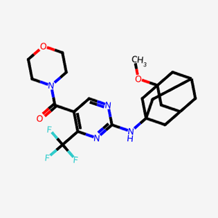 COC12CC3CC(CC(Nc4ncc(C(=O)N5CCOCC5)c(C(F)(F)F)n4)(C3)C1)C2